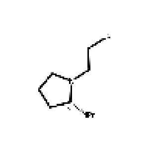 CC(C)CCN1CCC[C@H]1C(C)C